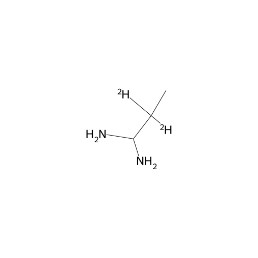 [2H]C([2H])(C)C(N)N